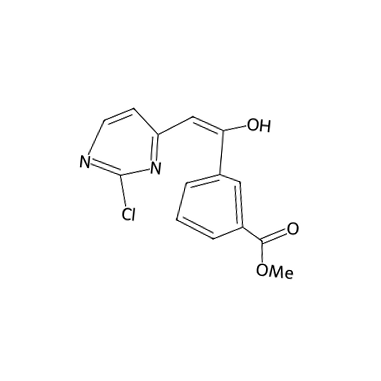 COC(=O)c1cccc(/C(O)=C\c2ccnc(Cl)n2)c1